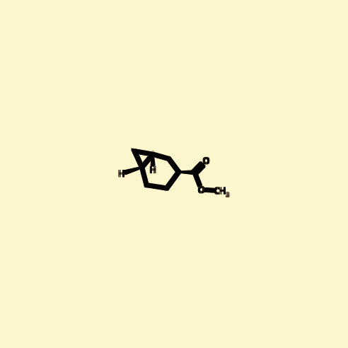 COC(=O)[C@H]1CC[C@@H]2C[C@@H]2C1